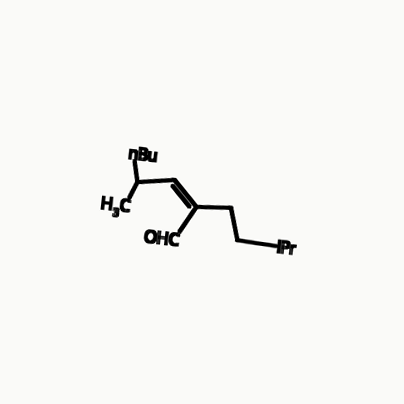 CCCCC(C)/C=C(\C=O)CCC(C)C